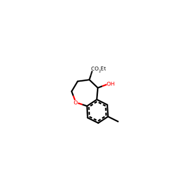 CCOC(=O)C1CCOc2ccc(C)cc2C1O